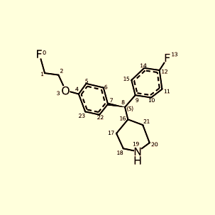 FCCOc1ccc([C@@H](c2ccc(F)cc2)C2CCNCC2)cc1